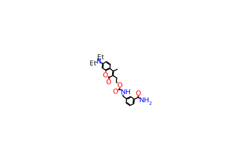 CCN(CC)c1ccc2c(C)c(CCOC(=O)NCc3cccc(C(N)=O)c3)c(=O)oc2c1